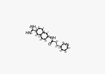 N=C(N)c1ccc2cc(NC(=O)CCc3cccnc3)ccc2c1